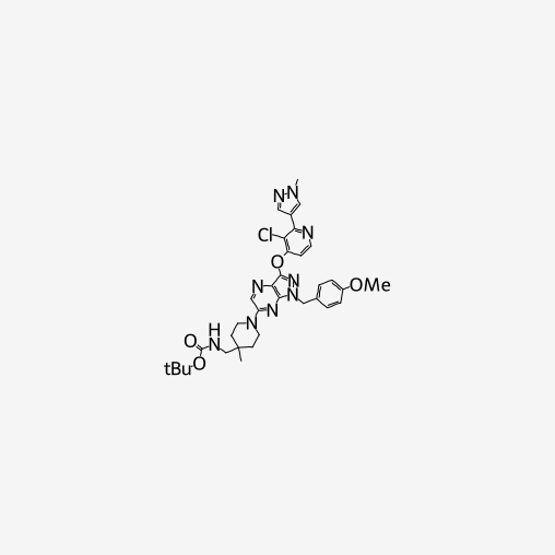 COc1ccc(Cn2nc(Oc3ccnc(-c4cnn(C)c4)c3Cl)c3ncc(N4CCC(C)(CNC(=O)OC(C)(C)C)CC4)nc32)cc1